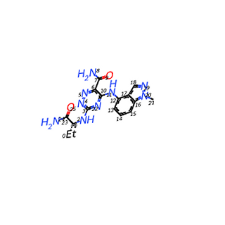 CC[C@@H](Nc1nnc(C(N)=O)c(Nc2cccc3c2cnn3C)n1)C(N)=O